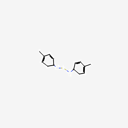 CC1=CCC(NSNC2C=CC(C)=CC2)C=C1